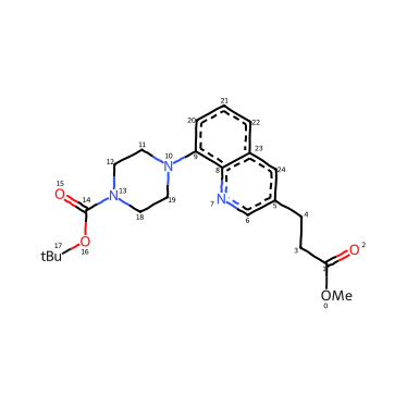 COC(=O)CCc1cnc2c(N3CCN(C(=O)OC(C)(C)C)CC3)cccc2c1